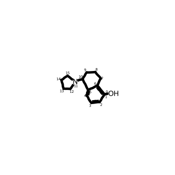 Oc1cccc2c1CCCC2N1CCCC1